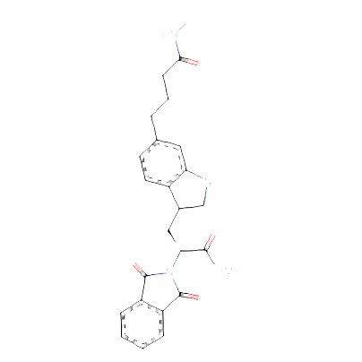 COC(=O)[C@H](CC1CNc2cc(CCCC(=O)NO)ccc21)N1C(=O)c2ccccc2C1=O